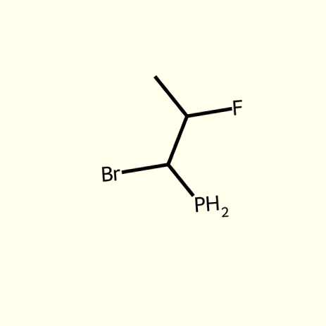 CC(F)C(P)Br